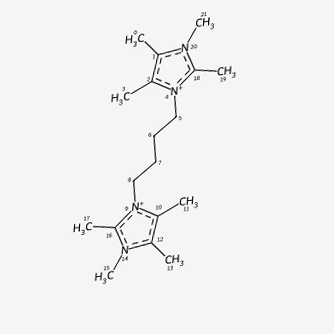 Cc1c(C)[n+](CCCC[n+]2c(C)c(C)n(C)c2C)c(C)n1C